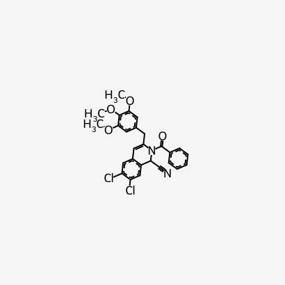 COc1cc(CC2=Cc3cc(Cl)c(Cl)cc3C(C#N)N2C(=O)c2ccccc2)cc(OC)c1OC